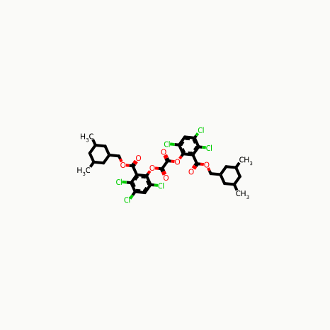 CC1CC(C)CC(COC(=O)c2c(Cl)c(Cl)cc(Cl)c2OC(=O)C(=O)Oc2c(Cl)cc(Cl)c(Cl)c2C(=O)OCC2CC(C)CC(C)C2)C1